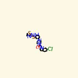 O=C(Cn1ccc2ccc(Cl)cc21)N1CCN(c2cccc(SNc3nccs3)c2)CC1